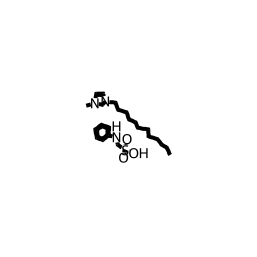 CCCCCCCCCCCCN1C=CN(C)C1.O=S(=O)(O)CNc1ccccc1